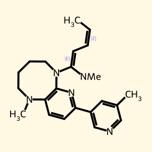 C/C=C\C=C(/NC)N1CCCCN(C)c2ccc(-c3cncc(C)c3)nc21